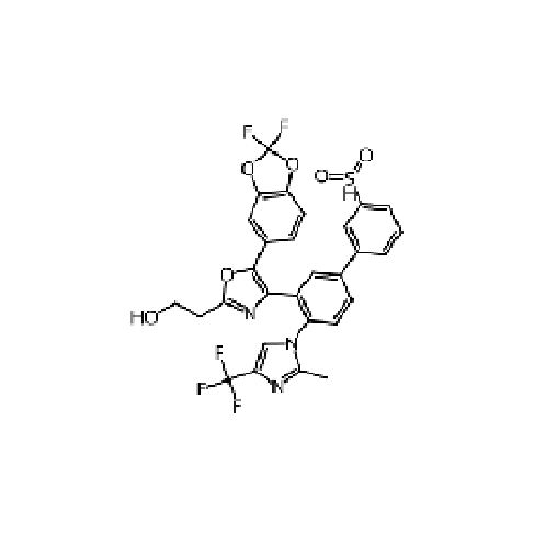 Cc1nc(C(F)(F)F)cn1-c1ccc(-c2cccc([SH](=O)=O)c2)cc1-c1nc(CCO)oc1-c1ccc2c(c1)OC(F)(F)O2